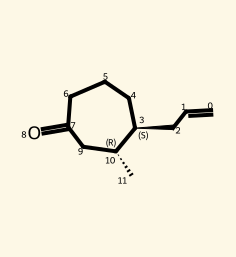 C=CC[C@@H]1CCCC(=O)C[C@H]1C